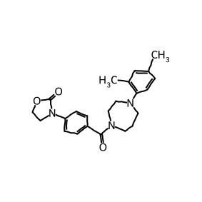 Cc1ccc(N2CCCN(C(=O)c3ccc(N4CCOC4=O)cc3)CC2)c(C)c1